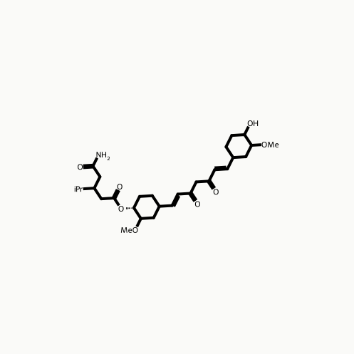 COC1CC(/C=C/C(=O)CC(=O)/C=C/C2CC[C@@H](OC(=O)CC(CC(N)=O)C(C)C)C(OC)C2)CCC1O